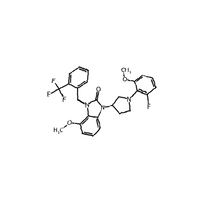 COc1cccc(F)c1N1CCC(n2c(=O)n(Cc3ccccc3C(F)(F)F)c3c(OC)cccc32)C1